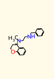 CN(CCNCc1ccccc1)[C@H]1CCOc2ccccc21